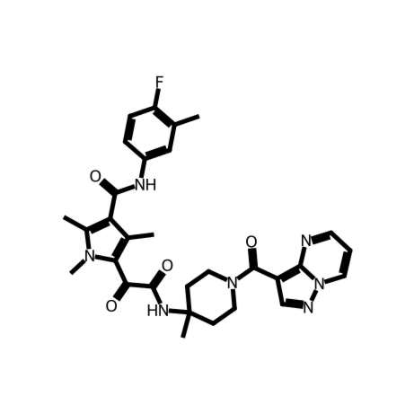 Cc1cc(NC(=O)c2c(C)c(C(=O)C(=O)NC3(C)CCN(C(=O)c4cnn5cccnc45)CC3)n(C)c2C)ccc1F